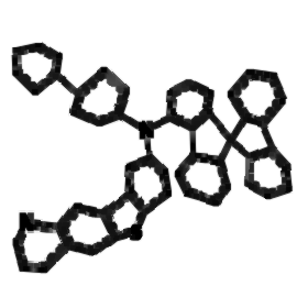 c1ccc(-c2ccc(N(c3ccc4sc5cc6cccnc6cc5c4c3)c3cccc4c3-c3ccccc3C43c4ccccc4-c4ccccc43)cc2)cc1